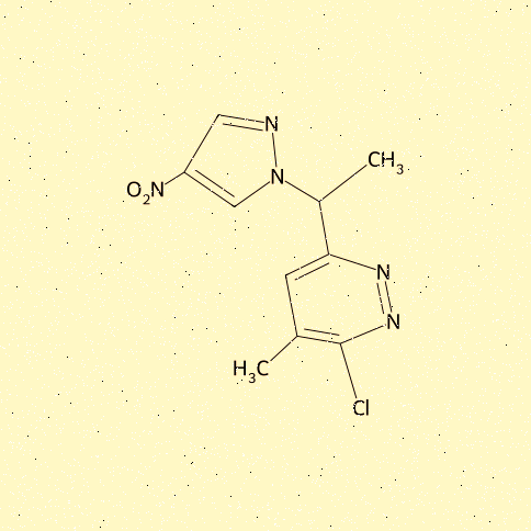 Cc1cc(C(C)n2cc([N+](=O)[O-])cn2)nnc1Cl